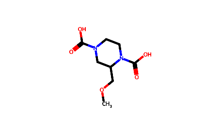 COCC1CN(C(=O)O)CCN1C(=O)O